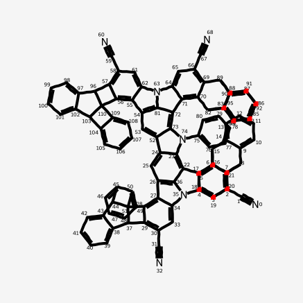 N#Cc1cc2c(c3c1C1c4ccccc4C3c3ccccc31)c1c3c(cc4c5c6c(c(C#N)cc5n2c41)C1c2ccccc2C2c4ccccc4C621)c1cc2c4c5c(c(C#N)cc4n4c6cc(C#N)c7c(c6c(c1n3-c1ccccc1)c24)C1c2ccccc2C7c2ccccc21)C1c2ccccc2C2c3ccccc3C521